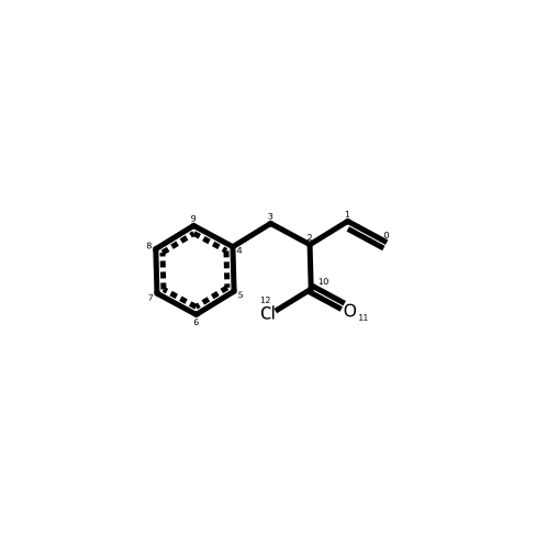 C=CC(Cc1ccccc1)C(=O)Cl